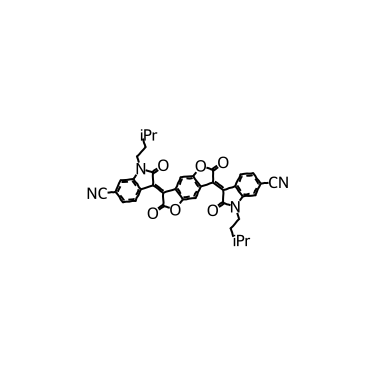 CC(C)CCN1C(=O)/C(=C2/C(=O)Oc3cc4c(cc32)OC(=O)/C4=C2/C(=O)N(CCC(C)C)c3cc(C#N)ccc32)c2ccc(C#N)cc21